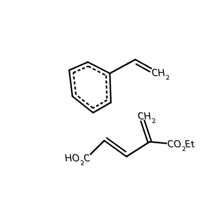 C=C(C=CC(=O)O)C(=O)OCC.C=Cc1ccccc1